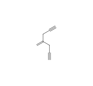 C#CCC(=C)CC#C